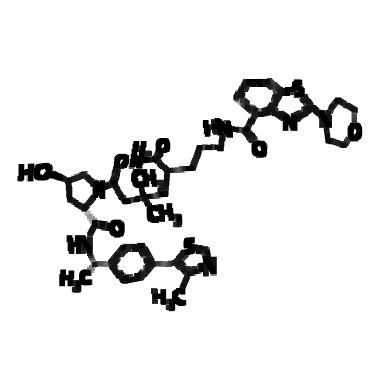 Cc1ncsc1-c1ccc([C@H](C)NC(=O)[C@@H]2C[C@@H](O)CN2C(=O)CC(C)(C)CC(CCCNC(=O)c2cccc3sc(N4CCOCC4)nc23)C(N)=O)cc1